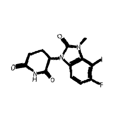 Cn1c(=O)n(C2CCC(=O)NC2=O)c2ccc(F)c(I)c21